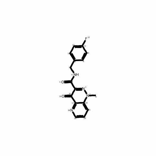 Cn1nc(C(=O)NCc2ccc(F)cc2)c(=O)c2ncccc21